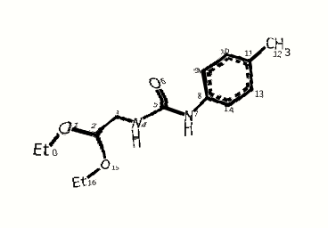 CCOC(CNC(=O)Nc1ccc(C)cc1)OCC